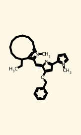 CCC1CCCCCCCCc2cc1c(/C=C1\N=C(c3cccn3C)C=C1OCc1ccccc1)n2C